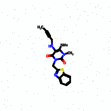 CC#CCNc1c(NC)n(C)c(=O)n(Cc2nc3ccccc3s2)c1=O